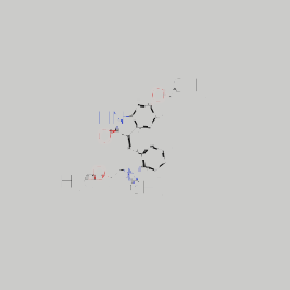 CCOc1ccc2c(c1)NC(=O)/C2=C/c1ccccc1N(C)CCOC